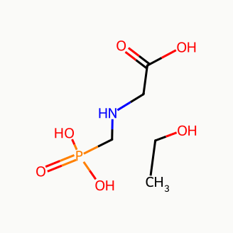 CCO.O=C(O)CNCP(=O)(O)O